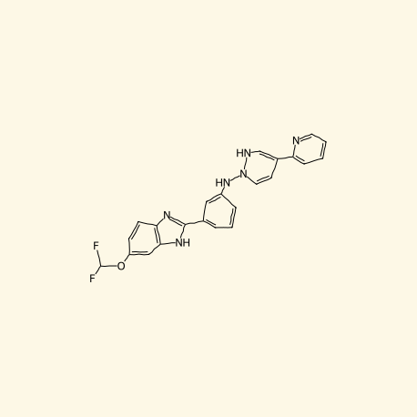 FC(F)Oc1ccc2nc(-c3cccc(NN4C=CC(c5ccccn5)=CN4)c3)[nH]c2c1